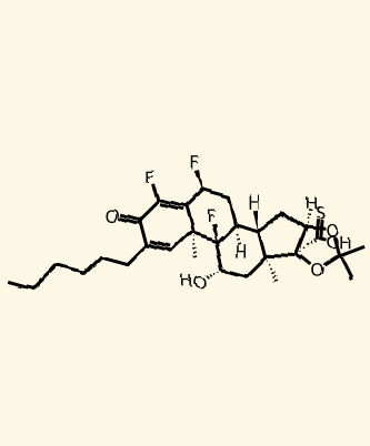 CCCCCCC1=C[C@@]2(C)C(=C(F)C1=O)[C@@H](F)C[C@H]1[C@@H]3C[C@H]4OC(C)(C)O[C@@]4(C(O)=S)[C@@]3(C)C[C@H](O)[C@@]12F